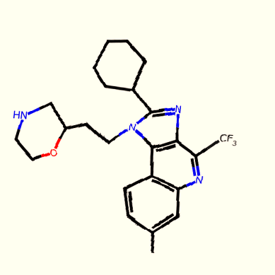 Cc1ccc2c(c1)nc(C(F)(F)F)c1nc(C3CCCCC3)n(CCC3CNCCO3)c12